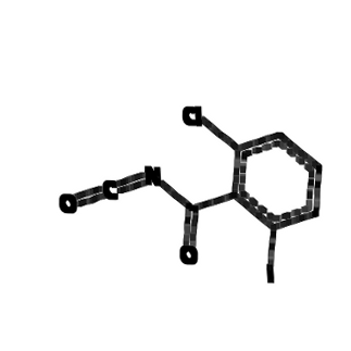 O=C=NC(=O)c1c(Cl)cccc1I